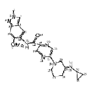 COc1cc2nn(C)cc2cc1NC(=O)c1cnc(N2CCCC(NC3CC3)C2)cn1